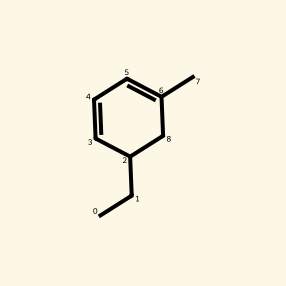 CCC1C=CC=C(C)C1